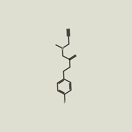 C#CCN(C)CC(=C)CCc1ccc(F)cc1